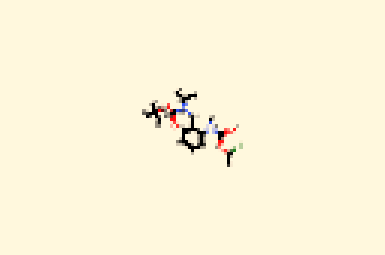 CC(Cl)OC(=O)N(C)c1ccccc1CN(C(=O)OC(C)(C)C)C(C)C